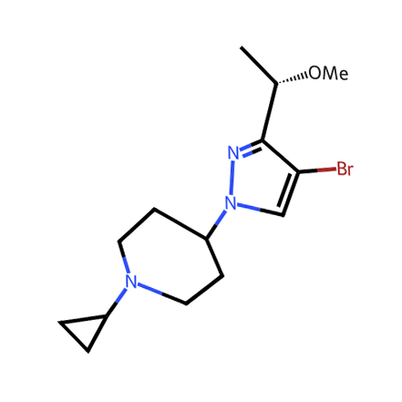 CO[C@@H](C)c1nn(C2CCN(C3CC3)CC2)cc1Br